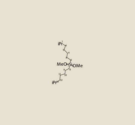 CO[Si](CCCCCC(C)C)(CCCCCC(C)C)OC